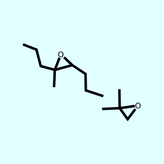 CC1(C)CO1.CCCC1OC1(C)CCC